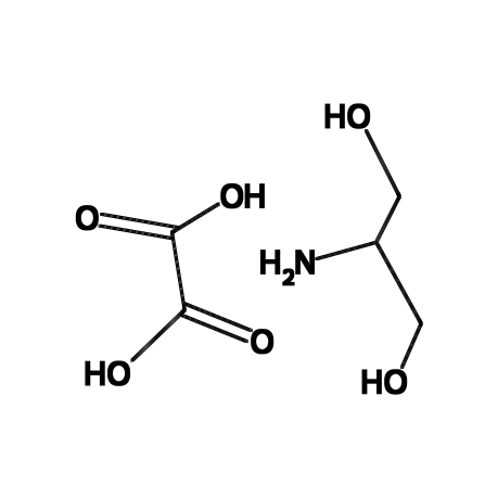 NC(CO)CO.O=C(O)C(=O)O